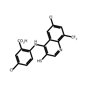 O=C(O)c1cc(Cl)ccc1Nc1c(S)cnc2c(C(F)(F)F)cc(Cl)cc12